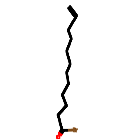 C=CCCCCCCCCCC(=O)Br